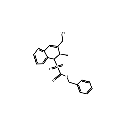 C[C@@H]1C(CO)=Cc2ccccc2C1S(=O)(=O)C(=O)OCc1ccccc1